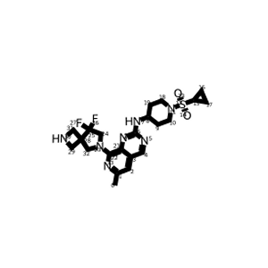 Cc1cc2cnc(NC3CCN(S(=O)(=O)C4CC4)CC3)nc2c(N2CC(F)(F)C3(CNC3)C2)n1